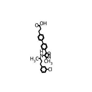 Cc1noc(-c2ccc(-c3ccc(CCC(=O)O)cc3)cc2)c1NC(C)CCc1cccc(Cl)c1